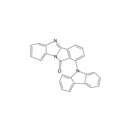 O=C1c2c(cccc2-n2c3ccccc3c3ccccc32)-c2nc3ccccc3n21